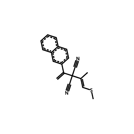 C=C(c1ccc2ccccc2c1)C(C#N)(C#N)C(C)=CSC